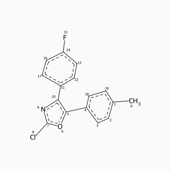 Cc1ccc(-c2oc(Cl)nc2-c2ccc(F)cc2)cc1